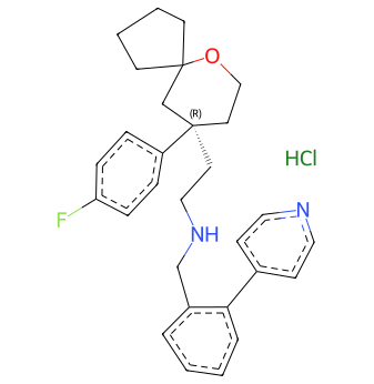 Cl.Fc1ccc([C@]2(CCNCc3ccccc3-c3ccncc3)CCOC3(CCCC3)C2)cc1